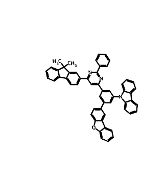 CC1(C)c2ccccc2-c2ccc(-c3cc(-c4cc(-c5ccc6oc7ccccc7c6c5)cc(-n5c6ccccc6c6ccccc65)c4)nc(-c4ccccc4)n3)cc21